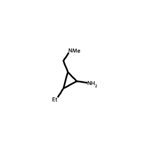 CCC1C(N)C1CNC